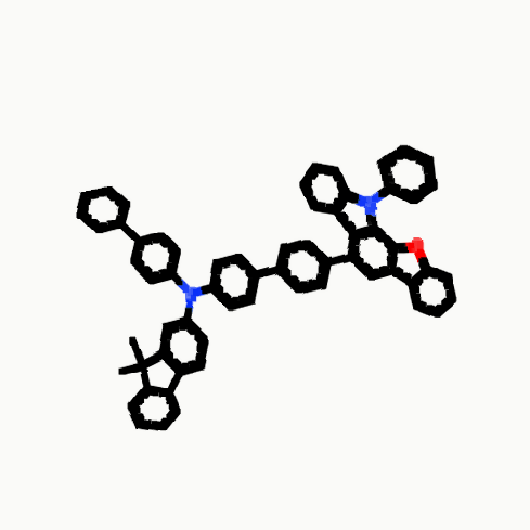 CC1(C)c2ccccc2-c2ccc(N(c3ccc(-c4ccccc4)cc3)c3ccc(-c4ccc(-c5cc6c7ccccc7oc6c6c5c5ccccc5n6-c5ccccc5)cc4)cc3)cc21